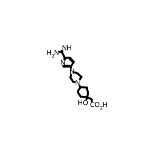 N=C(N)c1ccc(N2CCN(C3CCC(O)(CC(=O)O)CC3)CC2)cn1